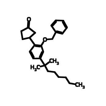 CCCCCCC(C)(C)c1ccc(C2CCC(=O)C2)c(OCc2ccccc2)c1